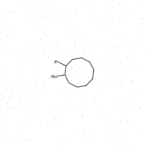 CC(C)C1CCCCCCCCN1C(C)(C)C